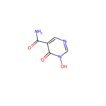 NC(=O)c1cncn(O)c1=O